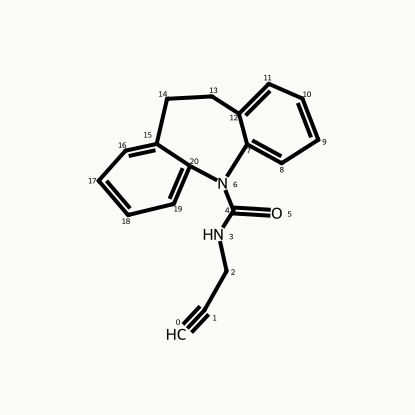 C#CCNC(=O)N1c2ccccc2CCc2ccccc21